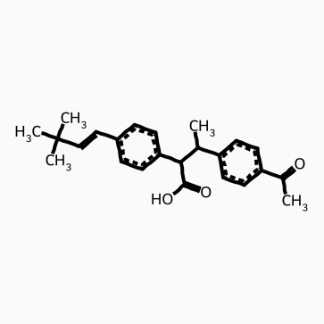 CC(=O)c1ccc(C(C)C(C(=O)O)c2ccc(/C=C/C(C)(C)C)cc2)cc1